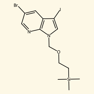 C[Si](C)(C)CCOCn1cc(I)c2cc(Br)cnc21